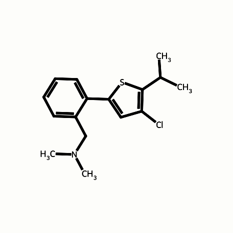 CC(C)c1sc(-c2ccccc2CN(C)C)cc1Cl